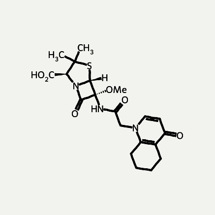 CO[C@]1(NC(=O)Cn2ccc(=O)c3c2CCCC3)C(=O)N2[C@@H](C(=O)O)C(C)(C)S[C@@H]21